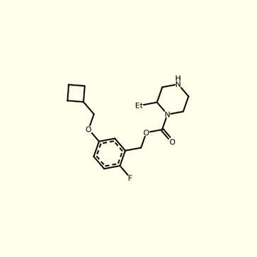 CCC1CNCCN1C(=O)OCc1cc(OCC2CCC2)ccc1F